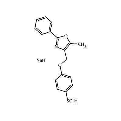 Cc1oc(-c2ccccc2)nc1COc1ccc(S(=O)(=O)O)cc1.[NaH]